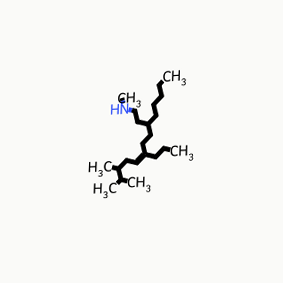 CCCCCC(CCNC)CC/C(=C\CC(C)C(C)C)CCC